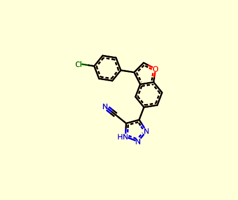 N#Cc1[nH]nnc1-c1ccc2occ(-c3ccc(Cl)cc3)c2c1